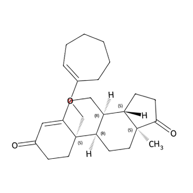 C[C@]12CC[C@@H]3[C@@H](CCC4=CC(=O)CC[C@@]43COC3=CCCCCC3)[C@@H]1CCC2=O